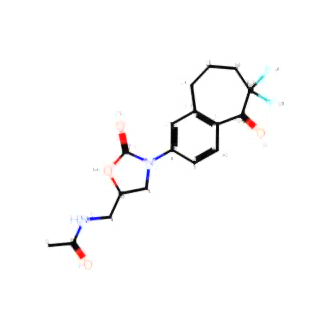 CC(=O)NCC1CN(c2ccc3c(c2)CCCC(F)(F)C3=O)C(=O)O1